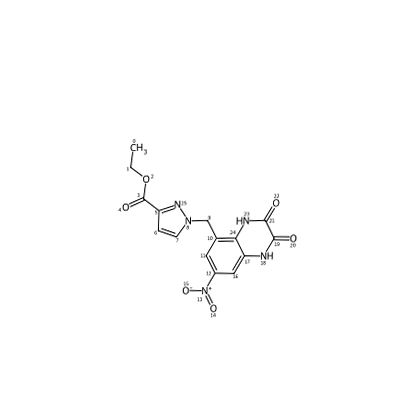 CCOC(=O)c1ccn(Cc2cc([N+](=O)[O-])cc3[nH]c(=O)c(=O)[nH]c23)n1